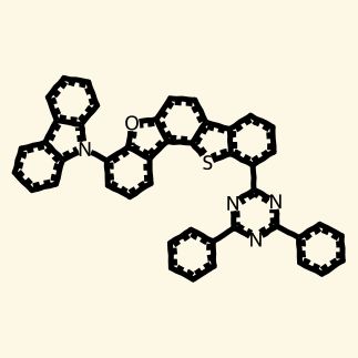 c1ccc(-c2nc(-c3ccccc3)nc(-c3cccc4c3sc3c4ccc4oc5c(-n6c7ccccc7c7ccccc76)cccc5c43)n2)cc1